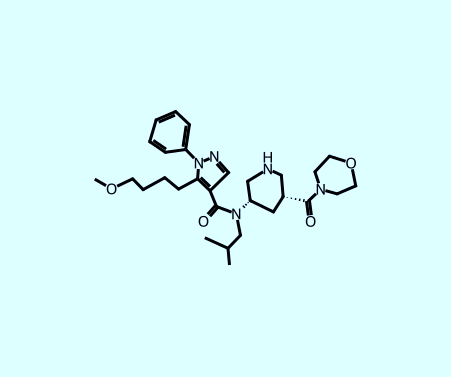 COCCCCc1c(C(=O)N(CC(C)C)[C@@H]2CNC[C@H](C(=O)N3CCOCC3)C2)cnn1-c1ccccc1